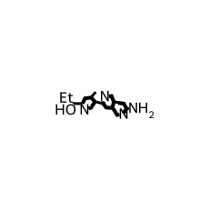 CC[C@H](O)c1cc(C)c(-c2cc3cnc(N)cc3cn2)cn1